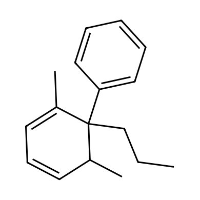 CCCC1(c2ccccc2)C(C)=CC=CC1C